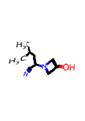 CC(C)C=C(C#N)N1CC(O)C1